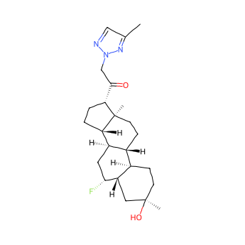 Cc1cnn(CC(=O)[C@H]2CC[C@H]3[C@@H]4C[C@@H](F)[C@H]5C[C@](C)(O)CC[C@@H]5[C@H]4CC[C@]23C)n1